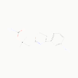 CC[C@@]1(c2cc(N)ccc2F)CCSC(CC(C)(C)OC(N)=O)=N1